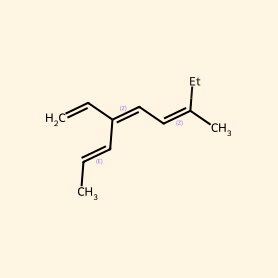 C=CC(=C/C=C(/C)CC)/C=C/C